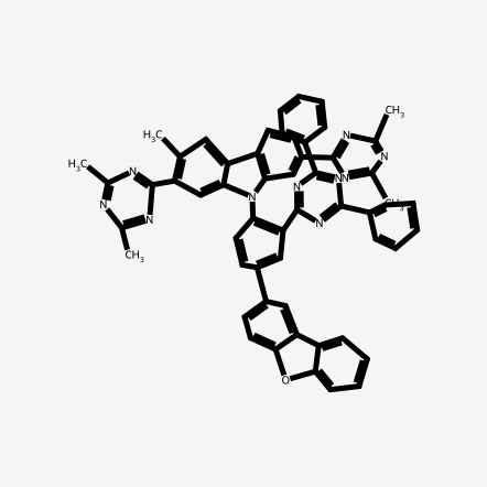 Cc1nc(C)nc(-c2ccc3c4cc(C)c(-c5nc(C)nc(C)n5)cc4n(-c4ccc(-c5ccc6oc7ccccc7c6c5)cc4-c4nc(-c5ccccc5)nc(-c5ccccc5)n4)c3c2)n1